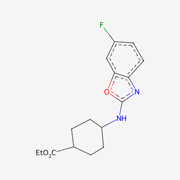 CCOC(=O)C1CCC(Nc2nc3ccc(F)cc3o2)CC1